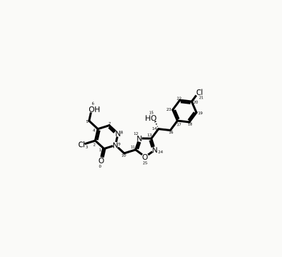 O=c1c(Cl)c(CO)cnn1Cc1nc([C@H](O)Cc2ccc(Cl)cc2)no1